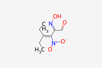 CCC(CC)=C(C(C=O)=NO)[N+](=O)[O-]